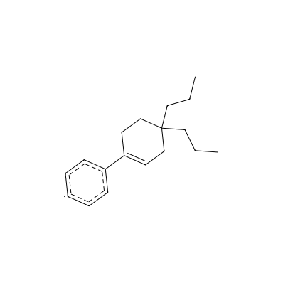 CCCC1(CCC)CC=C(c2cc[c]cc2)CC1